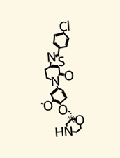 COc1cc(N2CCc3nc(-c4ccc(Cl)cc4)sc3C2=O)ccc1OC[C@H]1CNCCO1